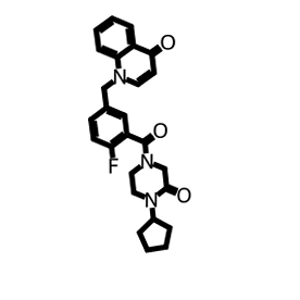 O=C(c1cc(Cn2ccc(=O)c3ccccc32)ccc1F)N1CCN(C2CCCC2)C(=O)C1